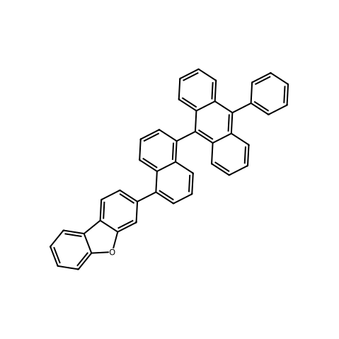 c1ccc(-c2c3ccccc3c(-c3cccc4c(-c5ccc6c(c5)oc5ccccc56)cccc34)c3ccccc23)cc1